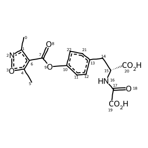 Cc1noc(C)c1C(=O)Oc1ccc(C[C@@H](NC(=O)C(=O)O)C(=O)O)cc1